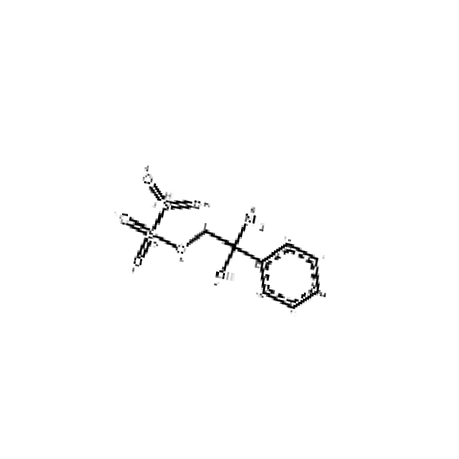 NC(O)(COS(=O)(=O)[SH](=O)=O)c1ccccc1